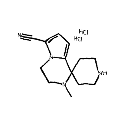 CN1CCn2c(C#N)ccc2C12CCNCC2.Cl.Cl